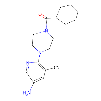 N#Cc1cc(N)cnc1N1CCN(C(=O)C2CCCCC2)CC1